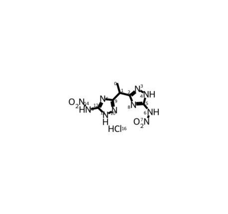 CC(c1n[nH]c(N[N+](=O)[O-])n1)c1n[nH]c(N[N+](=O)[O-])n1.Cl